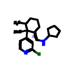 COC1(c2ccnc(Cl)c2)/C(=C/NC2CCCC2)CCCC1C